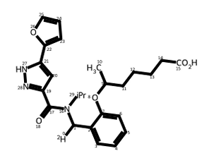 [2H]C(c1ccccc1OC(C)CCCCC(=O)O)N(C(=O)c1cc(-c2ccco2)[nH]n1)C(C)C